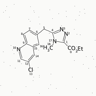 CCOC(=O)c1nnc(Cc2ccc3ncc(Cl)cc3c2)n1C